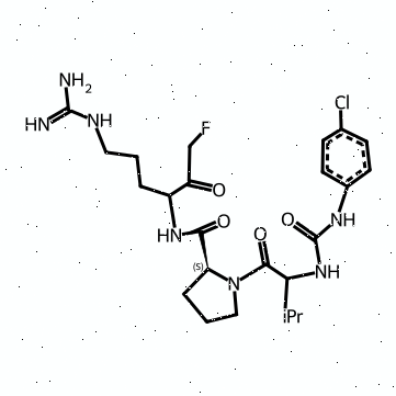 CC(C)C(NC(=O)Nc1ccc(Cl)cc1)C(=O)N1CCC[C@H]1C(=O)NC(CCCNC(=N)N)C(=O)CF